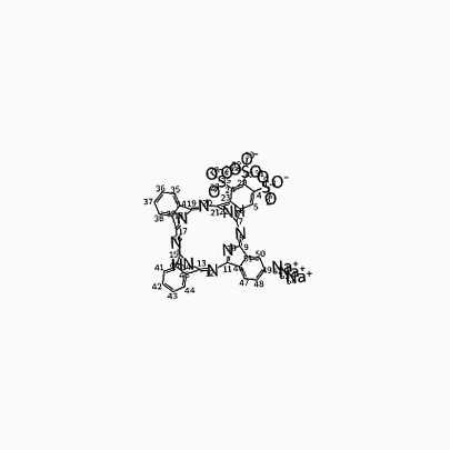 O=S(=O)([O-])c1cc2c3nc4nc(nc5[nH]c(nc6nc(nc([nH]3)c2c(S(=O)(=O)[O-])c1S(=O)(=O)[O-])-c1ccccc1-6)c1ccccc51)-c1ccccc1-4.[Na+].[Na+].[Na+]